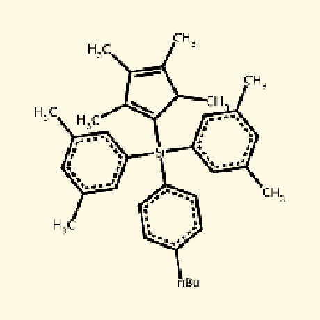 CCCCc1ccc([Si](C2=C(C)C(C)=C(C)C2C)(c2cc(C)cc(C)c2)c2cc(C)cc(C)c2)cc1